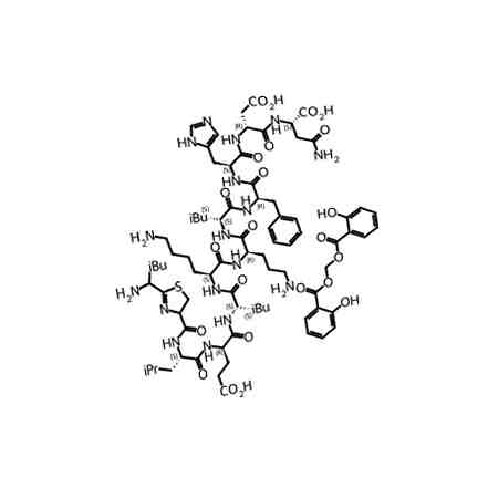 CCC(C)C(N)C1=NC(C(=O)N[C@@H](CC(C)C)C(=O)N[C@H](CCC(=O)O)C(=O)N[C@H](C(=O)N[C@@H](CCCCN)C(=O)N[C@H](CCCN)C(=O)N[C@H](C(=O)N[C@H](Cc2ccccc2)C(=O)N[C@@H](Cc2cnc[nH]2)C(=O)N[C@H](CC(=O)O)C(=O)N[C@@H](CC(N)=O)C(=O)O)[C@@H](C)CC)[C@@H](C)CC)CS1.O=C(OCOC(=O)c1ccccc1O)c1ccccc1O